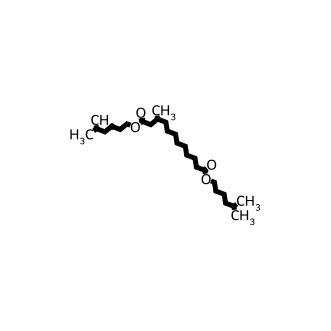 CC(C)CCCCOC(=O)CCCCCCCCC(C)CC(=O)OCCCCC(C)C